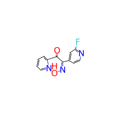 O=C(C(=NO)c1ccnc(F)c1)c1ccccn1